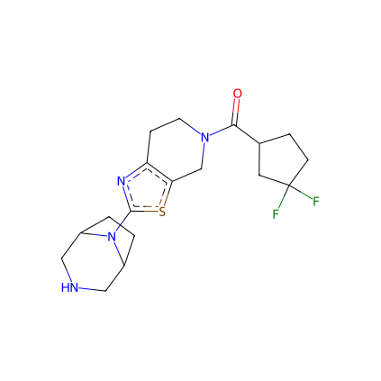 O=C(C1CCC(F)(F)C1)N1CCc2nc(N3C4CCC3CNC4)sc2C1